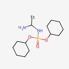 CCC(N)NP(=O)(OC1CCCCC1)OC1CCCCC1